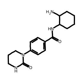 NC1CCCCC1NC(=O)c1ccc(N2CCCNC2=O)cc1